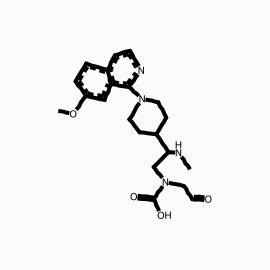 CNC(CN(CC=O)C(=O)O)C1CCN(c2nccc3ccc(OC)cc23)CC1